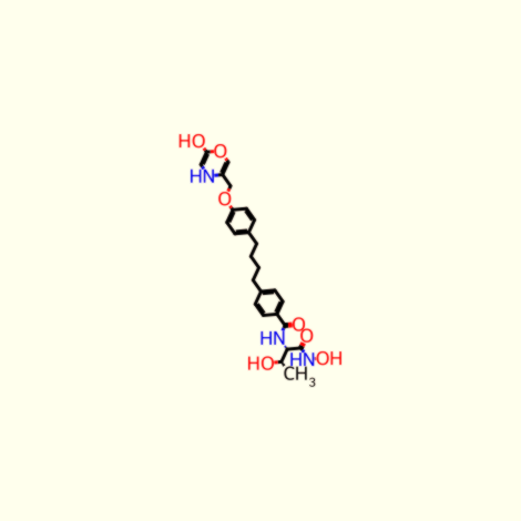 C[C@@H](O)[C@H](NC(=O)c1ccc(CCCCc2ccc(OCC3=COC(O)=CN3)cc2)cc1)C(=O)NO